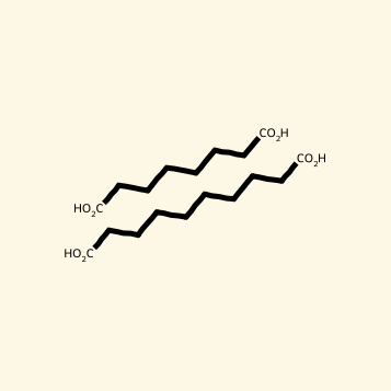 O=C(O)CCCCCCC(=O)O.O=C(O)CCCCCCCCC(=O)O